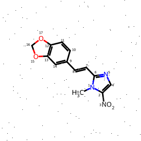 Cn1c([N+](=O)[O-])cnc1/C=C/c1ccc2c(c1)OCO2